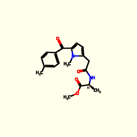 COC(=O)[C@H](C)NC(=O)Cc1ccc(C(=O)c2ccc(C)cc2)n1C